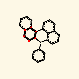 c1ccc(P(c2ccccc2)c2cccc3cccc(-c4nccc5ccccc45)c23)cc1